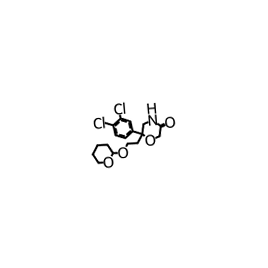 O=C1COC(CCOC2CCCCO2)(c2ccc(Cl)c(Cl)c2)CN1